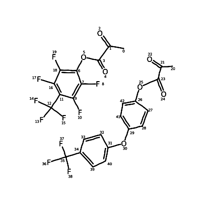 CC(=O)C(=O)Oc1c(F)c(F)c(C(F)(F)F)c(F)c1F.CC(=O)C(=O)Oc1ccc(Oc2ccc(C(F)(F)F)cc2)cc1